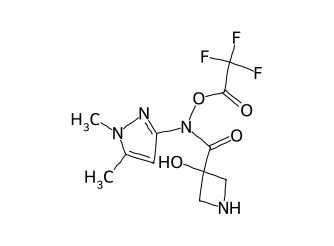 Cc1cc(N(OC(=O)C(F)(F)F)C(=O)C2(O)CNC2)nn1C